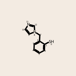 Sc1ccccc1Cn1ccnc1